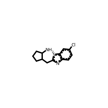 NC1CCCC1Cc1nc2ccc(Cl)cc2s1